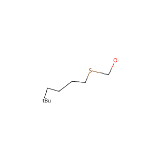 CC(C)(C)CCCCSC[O]